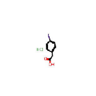 Cl.O=C(O)Cc1ccc(I)cc1